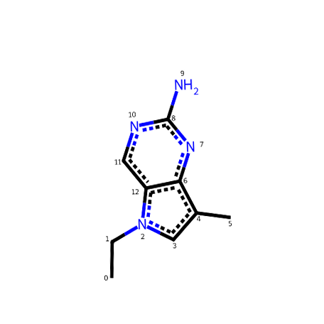 CCn1cc(C)c2nc(N)ncc21